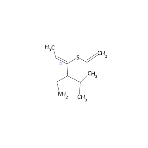 C=CS/C(=C\C)C(CN)C(C)C